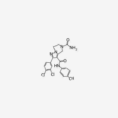 N#Cc1ccc(NC(=O)c2c(-c3ccc(Cl)c(Cl)c3)nn3c2CN(C(N)=O)CC3)cc1